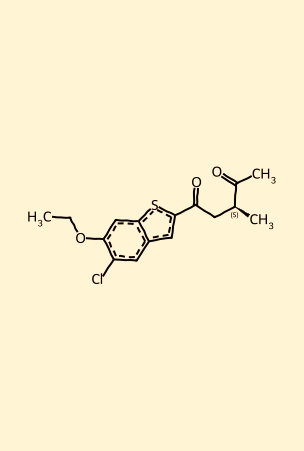 CCOc1cc2sc(C(=O)C[C@H](C)C(C)=O)cc2cc1Cl